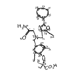 Cc1cc(CN(CC(N)=O)Cc2nc(-c3ccccc3)oc2C)cc(C)c1OC(C)(C)C(=O)O